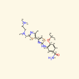 Cc1nc(CN(C)CCN(C)C)sc1-c1csc(Nc2cc(C(N)=O)ccc2OC(C)C)n1